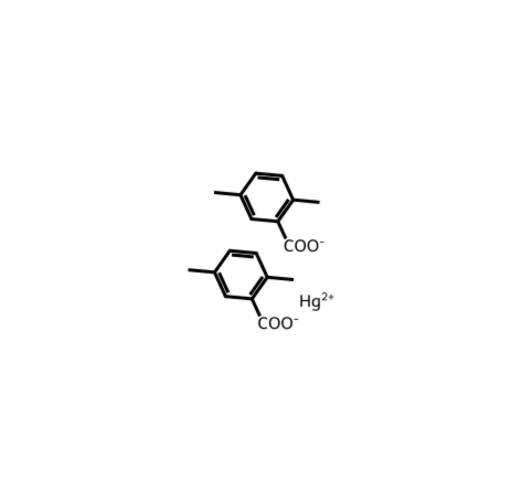 Cc1ccc(C)c(C(=O)[O-])c1.Cc1ccc(C)c(C(=O)[O-])c1.[Hg+2]